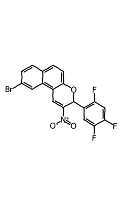 O=[N+]([O-])C1=Cc2c(ccc3ccc(Br)cc23)OC1c1cc(F)c(F)cc1F